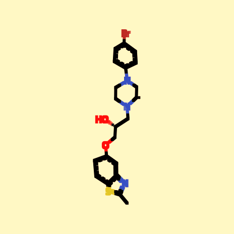 Cc1nc2cc(OC[C@H](O)CN3[CH]CN(c4ccc(Br)cc4)CC3)ccc2s1